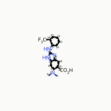 CN(C)c1cc2[nH]c(Nc3ccccc3C(F)(F)F)nc2cc1C(=O)O